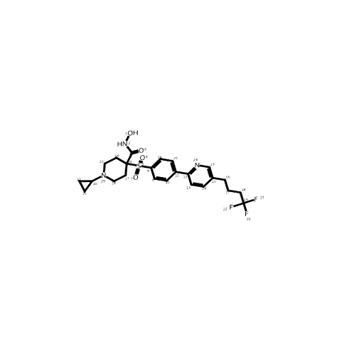 O=C(NO)C1(S(=O)(=O)c2ccc(-c3ccc(CCCC(F)(F)F)cn3)cc2)CCN(C2CC2)CC1